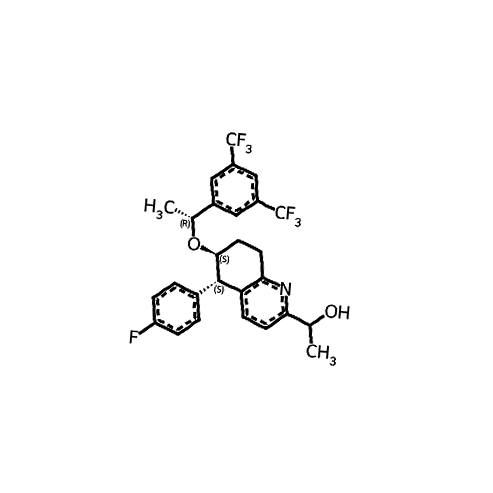 CC(O)c1ccc2c(n1)CC[C@H](O[C@H](C)c1cc(C(F)(F)F)cc(C(F)(F)F)c1)[C@H]2c1ccc(F)cc1